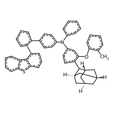 Cc1ccccc1Oc1cc(N(c2ccccc2)c2ccc(-c3ccccc3-c3cccc4sc5ccccc5c34)cc2)ccc1C1[C@H]2C[C@H]3C[C@H](C[C@H]1C3)C2